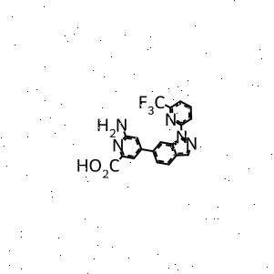 Nc1cc(-c2ccc3cnn(-c4cccc(C(F)(F)F)n4)c3c2)cc(C(=O)O)n1